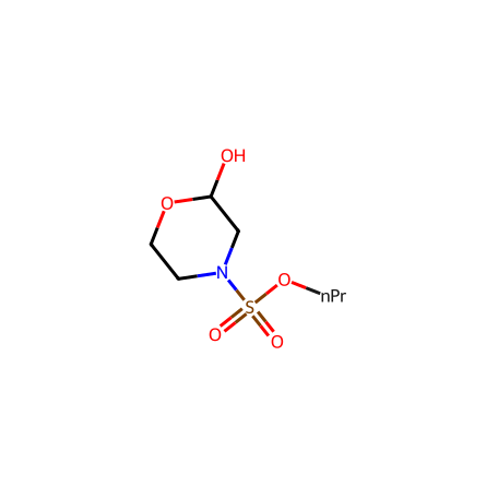 CCCOS(=O)(=O)N1CCOC(O)C1